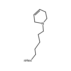 CCCCCCCCCCCN1CC=CCC1